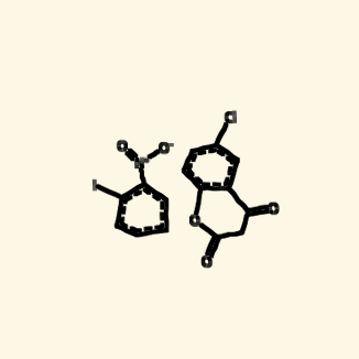 O=C1CC(=O)c2cc(Cl)ccc2O1.O=[N+]([O-])c1ccccc1I